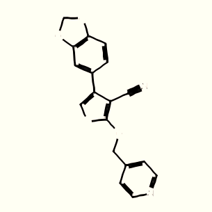 N#Cc1c(-c2ccc3c(c2)OCO3)csc1OCc1ccncc1